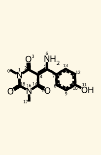 CN1C(=O)C(=C(N)c2ccc(O)cc2)C(=O)N(C)C1=O